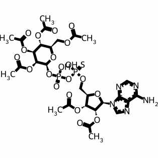 CC(=O)OC[C@H]1O[C@@H](OP(=O)(O)OP(O)(=S)OC[C@H]2O[C@@H](n3cnc4c(N)ncnc43)[C@H](OC(C)=O)[C@@H]2OC(C)=O)[C@@H](OC(C)=O)[C@@H](OC(C)=O)[C@@H]1OC(C)=O